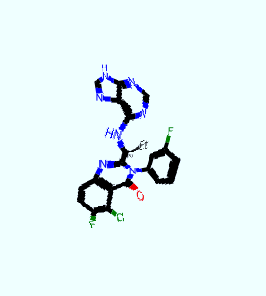 CC[C@H](Nc1ncnc2[nH]cnc12)c1nc2ccc(F)c(Cl)c2c(=O)n1-c1cccc(F)c1